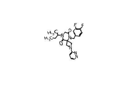 CCC(C)N1CC(=O)N(Cc2ccc(F)c(F)c2)C2(CN(c3cccnn3)C2)C1=O